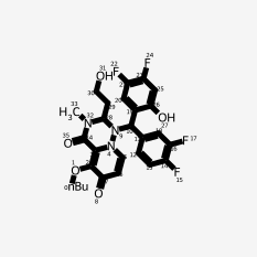 CCCCOc1c2n(ccc1=O)N(C(c1ccc(F)c(F)c1)c1cc(F)c(F)cc1O)C(CCO)N(C)C2=O